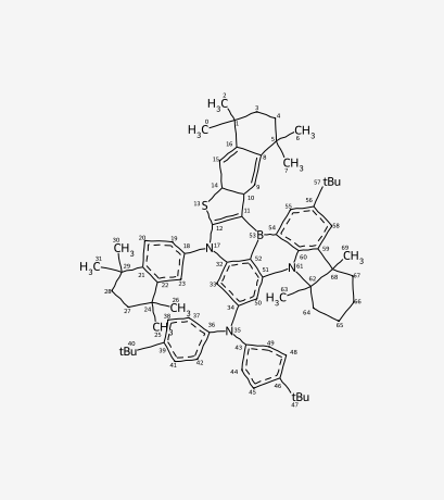 CC1(C)CCC(C)(C)C2=CC3C4=C(SC3C=C21)N(c1ccc2c(c1)C(C)(C)CCC2(C)C)c1cc(N(c2ccc(C(C)(C)C)cc2)c2ccc(C(C)(C)C)cc2)cc2c1B4c1cc(C(C)(C)C)cc3c1N2C1(C)CCCCC31C